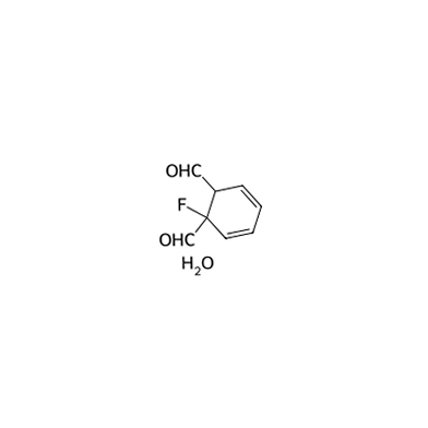 O.O=CC1C=CC=CC1(F)C=O